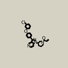 C=CC(=O)N1CCCC(n2nc(-c3ccc(Oc4cccc(Cl)c4)cc3)c3cnccc32)C1